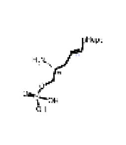 CCCCCCC/C=C/C[C@@H](N)COP(=O)(O)O